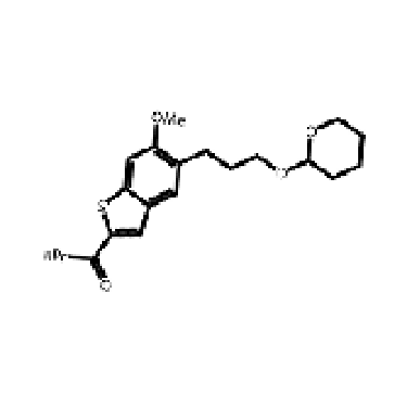 CCCC(=O)c1cc2cc(CCCOC3CCCCO3)c(OC)cc2s1